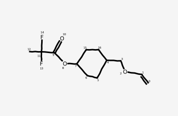 C=COCC1CCC(OC(=O)C(C)(F)F)CC1